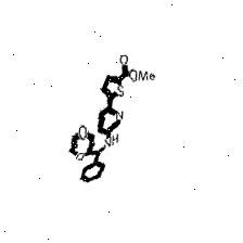 COC(=O)c1ccc(-c2ccc(NC(C3=CC=CCC3)C3=COC=CO3)cn2)s1